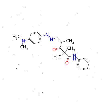 CC(CN=Nc1ccc(N(C)C)cc1)C(=O)C(C)(C)C(=O)Nc1ccccc1